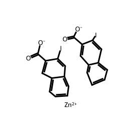 O=C([O-])c1cc2ccccc2cc1I.O=C([O-])c1cc2ccccc2cc1I.[Zn+2]